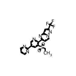 CCS(=O)(=O)c1cc(-c2ncccn2)cnc1-c1ccn2nc(C(F)(F)F)cc2n1